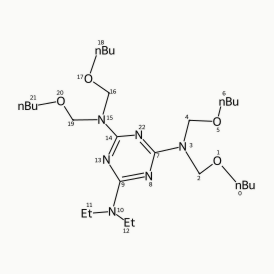 CCCCOCN(COCCCC)c1nc(N(CC)CC)nc(N(COCCCC)COCCCC)n1